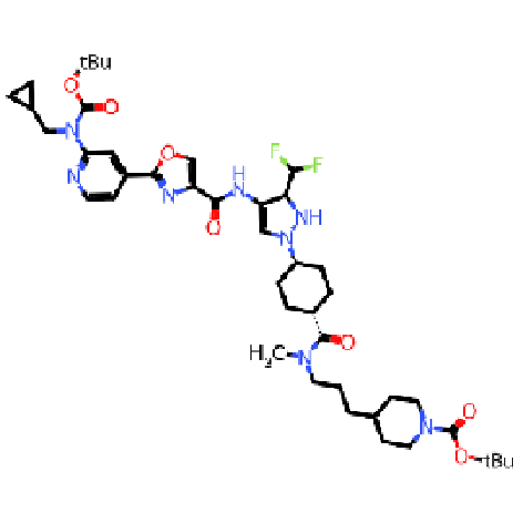 CN(CCCC1CCN(C(=O)OC(C)(C)C)CC1)C(=O)[C@H]1CC[C@H](N2C=C(NC(=O)c3coc(-c4ccnc(N(CC5CC5)C(=O)OC(C)(C)C)c4)n3)C(C(F)F)N2)CC1